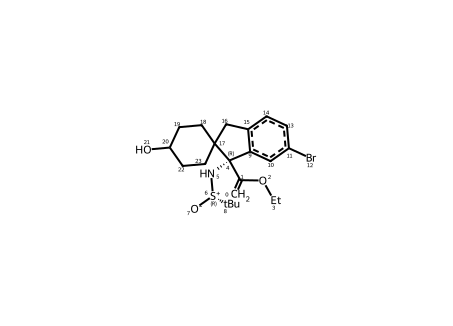 C=C(OCC)[C@]1(N[S@@+]([O-])C(C)(C)C)c2cc(Br)ccc2CC12CCC(O)CC2